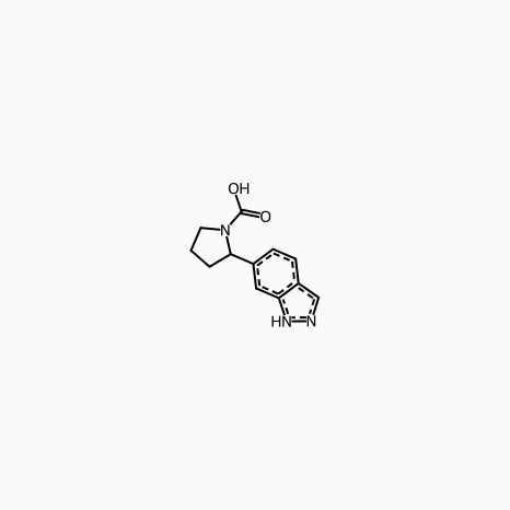 O=C(O)N1CCCC1c1ccc2cn[nH]c2c1